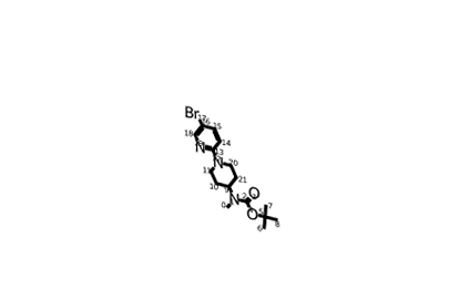 CN(C(=O)OC(C)(C)C)C1CCN(c2ccc(Br)cn2)CC1